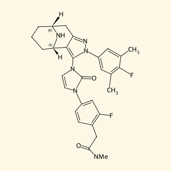 CNC(=O)Cc1ccc(-n2ccn(-c3c4c(nn3-c3cc(C)c(F)c(C)c3)C[C@H]3CCC[C@@H]4N3)c2=O)cc1F